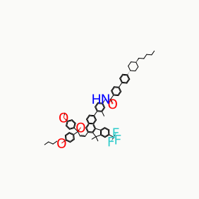 CCCCC[C@H]1CC[C@H](c2ccc(-c3ccc(C(=O)Nc4ccc(-c5ccc6c7c(c8c(c6c5)-c5ccc(C(F)(F)F)cc5C8(C)C)C=CC(c5ccc(OC)cc5)(c5ccc(OCCCC)cc5)O7)c(C)c4)cc3)cc2)CC1